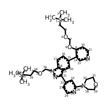 C[Si](C)(C)CCOCOc1ccncc1-c1ccc2c(c1)c(-c1ccnc(N3CCOCC3)c1)nn2COCC[Si](C)(C)C